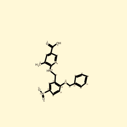 Cc1cc(C(=O)O)cnc1NCc1cc([N+](=O)[O-])ccc1OCc1ccccc1